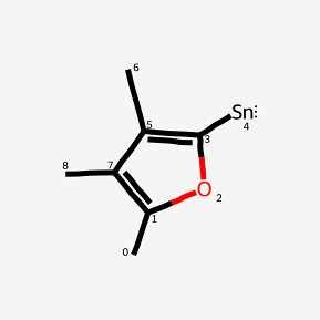 Cc1o[c]([Sn])c(C)c1C